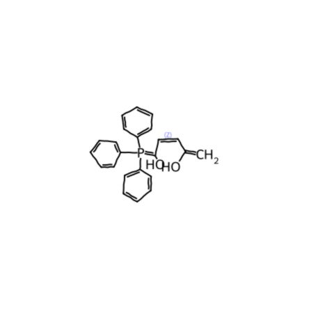 C=C(O)/C=C\C(O)=P(c1ccccc1)(c1ccccc1)c1ccccc1